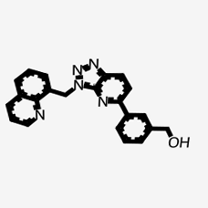 OCc1cccc(-c2ccc3nnn(Cc4cccc5cccnc45)c3n2)c1